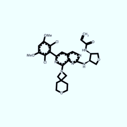 C=CC(=O)N[C@H]1COC[C@H]1Nc1ncc2cc(-c3c(Cl)c(OC)cc(OC)c3Cl)nc(N3CC4(CCOCC4)C3)c2n1